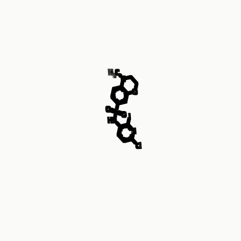 CN1CCOc2cc(S(=O)(=O)Nc3ccc(Cl)nc3I)ccc21